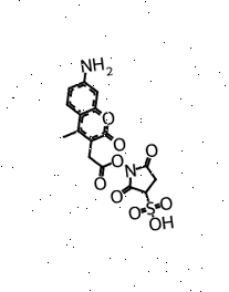 Cc1c(CC(=O)ON2C(=O)CC(S(=O)(=O)O)C2=O)c(=O)oc2cc(N)ccc12